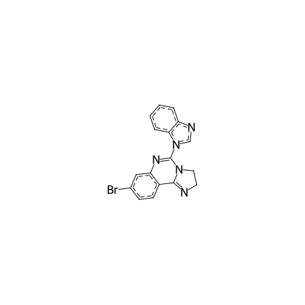 Brc1ccc2c(c1)N=C(n1cnc3ccccc31)N1CCN=C21